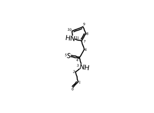 C=CCNC(=S)Cc1ccc[nH]1